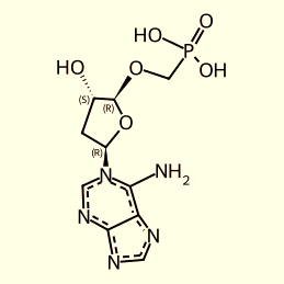 Nc1c2ncnc-2ncn1[C@H]1C[C@H](O)[C@@H](OCP(=O)(O)O)O1